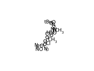 Cc1c(COc2cc(OCc3cncc(N=O)c3)c(CN3CCCCC3)cc2Cl)cccc1-c1cccc(NC(=O)c2nc3c(n2C)CCN(C(=O)OC(C)(C)C)C3)c1Cl